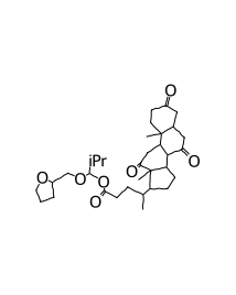 CC(C)C(OCC1CCCO1)OC(=O)CCC(C)C1CCC2C3C(=O)CC4CC(=O)CCC4(C)C3CC(=O)C12C